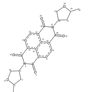 CC1CC(N2C(=O)c3ccc4c5c(ccc(c35)C2=O)C(=O)N(C2COC(C)C2)C4=O)CO1